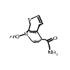 NC(=O)c1cn(O)c2sccc12